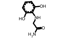 NC(=O)CNc1c(O)cccc1O